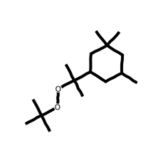 CC1CC(C(C)(C)OOC(C)(C)C)CC(C)(C)C1